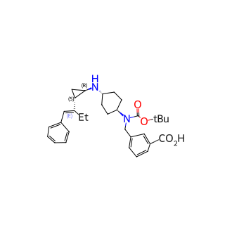 CC/C(=C\c1ccccc1)[C@@H]1C[C@H]1N[C@H]1CC[C@H](N(Cc2cccc(C(=O)O)c2)C(=O)OC(C)(C)C)CC1